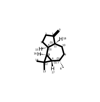 C=C1CC[C@@H]2[C@H]3[C@H]([C@@H](C)CC[C@H]12)C3(C)C